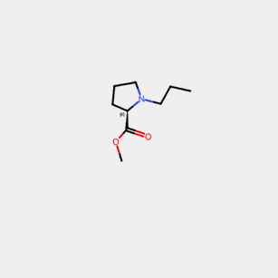 CCCN1CCC[C@@H]1C(=O)OC